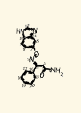 NC(=O)C/C(=N\Oc1ccc2[nH]cnc2c1)c1ccccc1